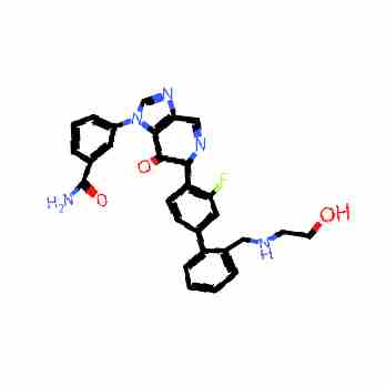 NC(=O)c1cccc(-n2cnc3c2C(=O)C(c2ccc(-c4ccccc4CNCCO)cc2F)N=C3)c1